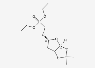 CCOP(=O)(CO[C@@H]1CC2OC(C)(C)O[C@@H]2O1)OCC